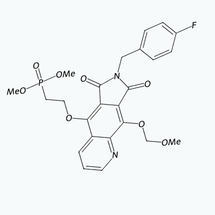 COCOc1c2c(c(OCCP(=O)(OC)OC)c3cccnc13)C(=O)N(Cc1ccc(F)cc1)C2=O